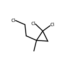 CC1(CCCl)CC1(Cl)Cl